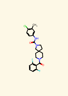 Cc1cc(NC(=O)N2CCC3(CCN(C(=O)c4c(F)cccc4F)CC3)C2)ccc1Cl